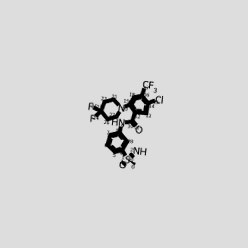 C[S@@](=N)(=O)c1cccc(NC(=O)c2cc(Cl)c(C(F)(F)F)cc2N2CCC(F)(F)CC2)c1